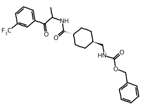 CC(NC(=O)[C@H]1CC[C@H](CNC(=O)OCc2ccccc2)CC1)C(=O)c1cccc(C(F)(F)F)c1